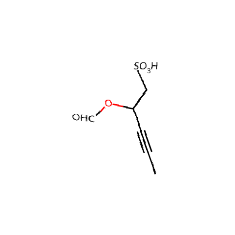 CC#CC(CS(=O)(=O)O)OC=O